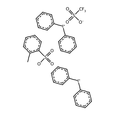 Cc1ccccc1S(=O)(=O)[O-].O=S(=O)([O-])C(F)(F)F.c1ccc([I+]c2ccccc2)cc1.c1ccc([I+]c2ccccc2)cc1